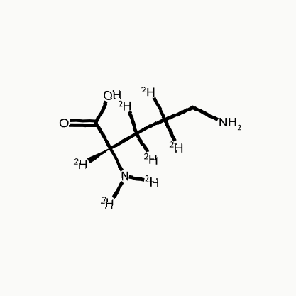 [2H]N([2H])[C@]([2H])(C(=O)O)C([2H])([2H])C([2H])([2H])CN